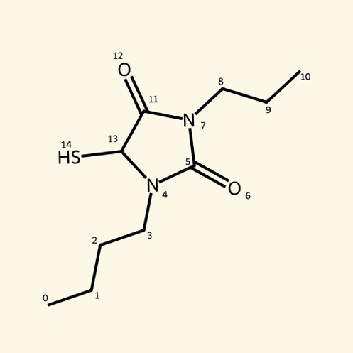 CCCCN1C(=O)N(CCC)C(=O)C1S